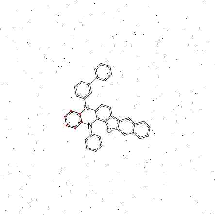 c1ccc(-c2cccc(N(c3ccccc3)c3ccc4c(oc5cc6ccccc6cc54)c3N(c3ccccc3)c3ccccc3)c2)cc1